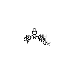 COc1ncc(-n2nc(/C(C=N)=C/NC[C@@H]3CCN(C(C)C)C[C@@H]3F)c3c2CCOCC3)cc1F